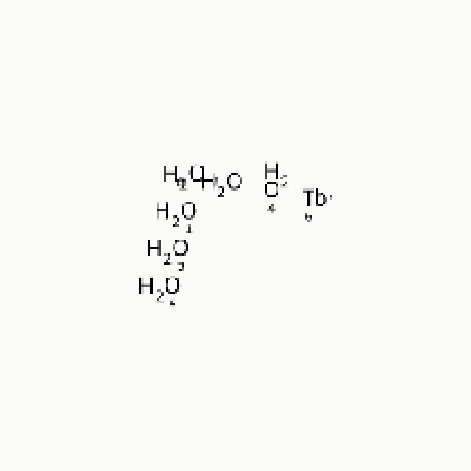 O.O.O.O.O.O.[Tb]